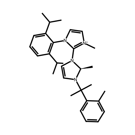 Cc1ccccc1C(C)(C)N1C=CN(c2n(-c3c(C(C)C)cccc3C(C)C)cc[n+]2C)[C@H]1C